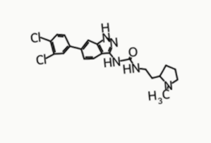 CN1CCCC1CCNC(=O)Nc1n[nH]c2cc(-c3ccc(Cl)c(Cl)c3)ccc12